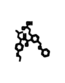 CCSc1ccc(C(CC(C)C)NC(=O)c2cc(COc3ccccc3)ccc2CCC(=O)O)cc1